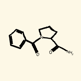 NC(=O)C1CCCN1C(=O)c1ccccc1